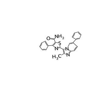 Cc1nc2ccc(-c3ccccc3)cn2c1-c1nc(-c2ccccc2)c(C(N)=O)s1